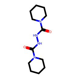 O=C(NNC(=O)N1CCCCC1)N1CCCCC1